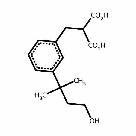 CC(C)(CCO)c1cccc(CC(C(=O)O)C(=O)O)c1